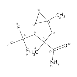 CC1(CC(C)(CC(F)(F)F)C(N)=O)CC1